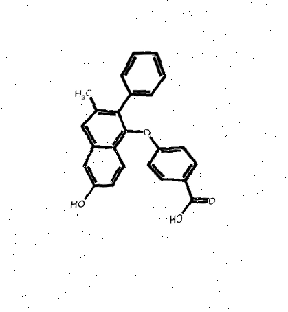 Cc1cc2cc(O)ccc2c(Oc2ccc(C(=O)O)cc2)c1-c1ccccc1